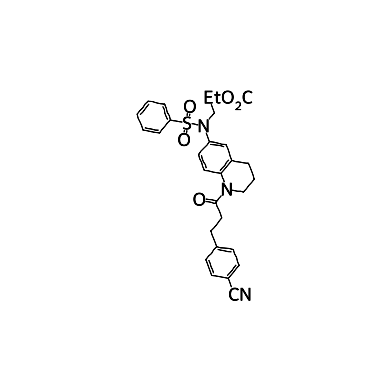 CCOC(=O)CN(c1ccc2c(c1)CCCN2C(=O)CCc1ccc(C#N)cc1)S(=O)(=O)c1ccccc1